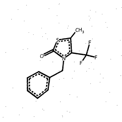 Cc1sc(=O)n(Cc2ccccc2)c1C(F)(F)F